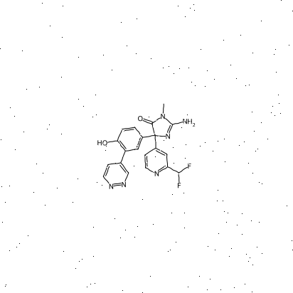 CN1C(=O)C(c2ccnc(C(F)F)c2)(c2ccc(O)c(-c3ccnnc3)c2)N=C1N